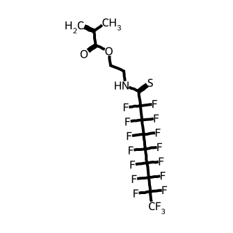 C=C(C)C(=O)OCCNC(=S)C(F)(F)C(F)(F)C(F)(F)C(F)(F)C(F)(F)C(F)(F)C(F)(F)C(F)(F)F